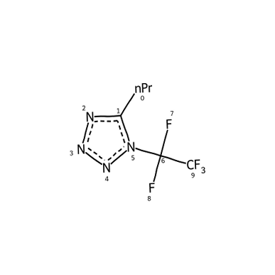 CCCc1nnnn1C(F)(F)C(F)(F)F